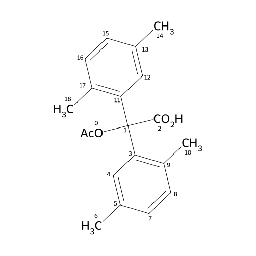 CC(=O)OC(C(=O)O)(c1cc(C)ccc1C)c1cc(C)ccc1C